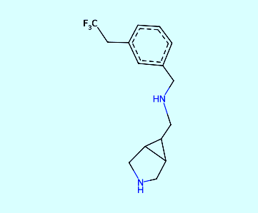 FC(F)(F)Cc1cccc(CNCC2C3CNCC23)c1